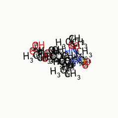 CC(NC(=O)OC(C)(C)C)C(CN[C@]12CC[C@@H](C(C)C)[C@@H]1[C@H]1CC[C@@H]3[C@@]4(C)CC[C@H](OC(=O)[C@H]5C[C@@H](C(=O)O)C5(C)C)C(C)(C)[C@@H]4CC[C@@]3(C)[C@]1(C)CC2)N1CCS(=O)(=O)CC1